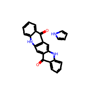 O=c1c2ccccc2[nH]c2cc3c(=O)c4ccccc4[nH]c3cc12.c1cc[nH]c1